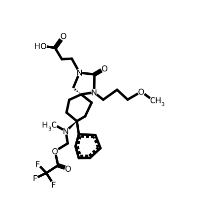 COCCCN1C(=O)N(CCC(=O)O)C[C@]12CC[C@](c1ccccc1)(N(C)COC(=O)C(F)(F)F)CC2